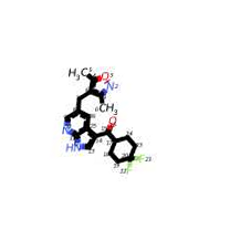 Cc1noc(C)c1Cc1cnc2[nH]cc(C(=O)C3CCC(F)(F)CC3)c2c1